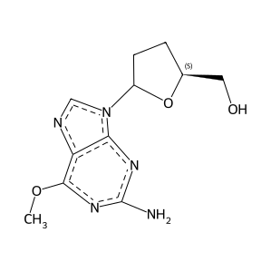 COc1nc(N)nc2c1ncn2C1CC[C@@H](CO)O1